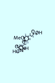 COc1cc(/C=C/C(=O)CO)ccc1OCc1cc(=O)c(O)n[nH]1